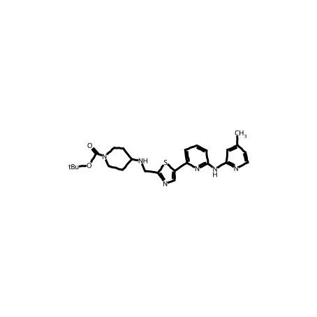 Cc1ccnc(Nc2cccc(-c3cnc(CNC4CCN(C(=O)OC(C)(C)C)CC4)s3)n2)c1